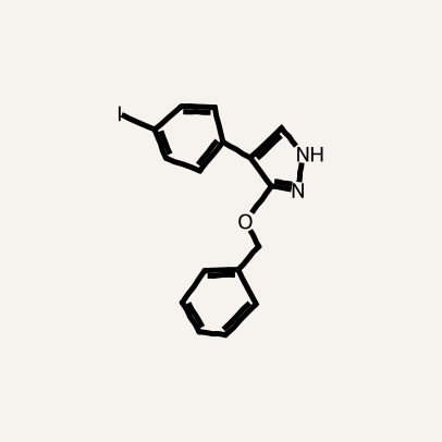 Ic1ccc(-c2c[nH]nc2OCc2ccccc2)cc1